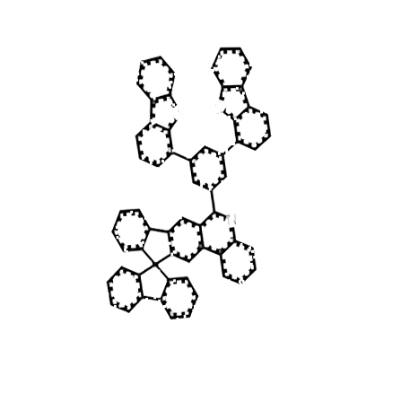 c1ccc2c(c1)-c1ccccc1C21c2ccccc2-c2cc3c(-c4cc(-c5cccc6c5sc5ccccc56)cc(-c5cccc6c5sc5ccccc56)c4)nc4ccccc4c3cc21